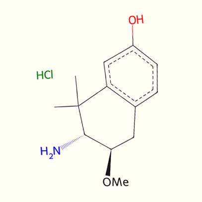 CO[C@@H]1Cc2ccc(O)cc2C(C)(C)[C@H]1N.Cl